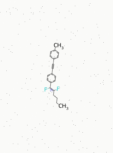 CCCC/C(F)=C(\F)c1ccc(C#Cc2ccc(C)cc2)cc1